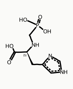 O=C(O)[C@H](Cc1c[nH]cn1)NCP(=O)(O)O